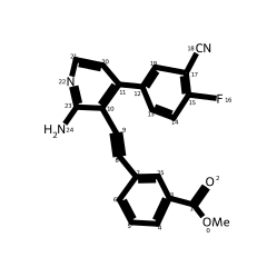 COC(=O)c1cccc(C#Cc2c(-c3ccc(F)c(C#N)c3)ccnc2N)c1